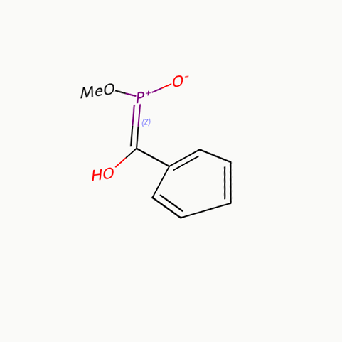 CO/[P+]([O-])=C(\O)c1ccccc1